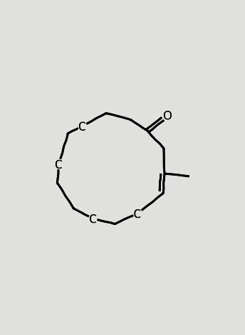 CC1=CCCCCCCCCCCC(=O)C1